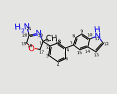 CC1(c2cccc(-c3ccc4[nH]ccc4c3)c2)COCC(N)=N1